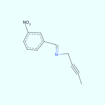 CC#CC/N=C/c1cccc([N+](=O)[O-])c1